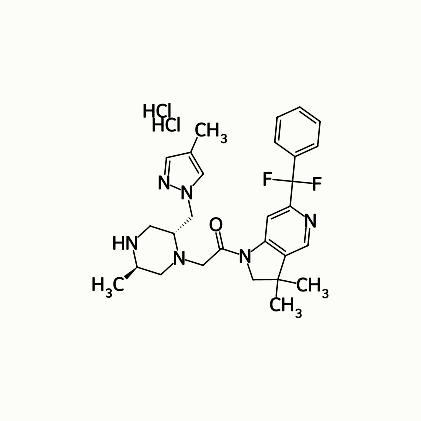 Cc1cnn(C[C@H]2CN[C@H](C)CN2CC(=O)N2CC(C)(C)c3cnc(C(F)(F)c4ccccc4)cc32)c1.Cl.Cl